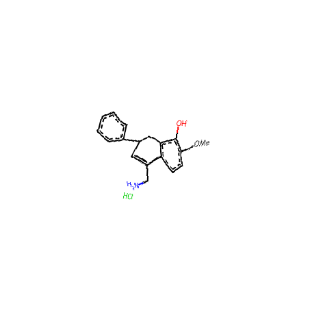 COc1ccc2c(c1O)CC(c1ccccc1)C=C2CN.Cl